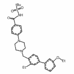 CCOc1cccc(-c2ccc(CN3CCN(c4ccc(C(=O)NS(=O)(=O)C(C)(C)C)cc4)CC3)c(CC)c2)c1